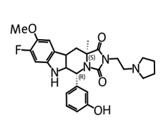 COc1cc2c(cc1F)NC1C2C[C@@]2(C)C(=O)N(CCN3CCCC3)C(=O)N2[C@@H]1c1cccc(O)c1